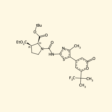 CCOC(=O)[C@@H]1CCN(C(=O)Nc2nc(C)c(-c3cc(C(C)(C)C(F)(F)F)oc(=O)c3)s2)[C@@H]1C(=O)OC(C)(C)C